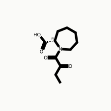 CCC(=O)C(=O)N1CCCCC[C@H]1C(=O)O